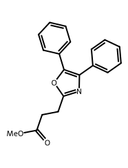 COC(=O)CCc1nc(-c2ccccc2)c(-c2ccccc2)o1